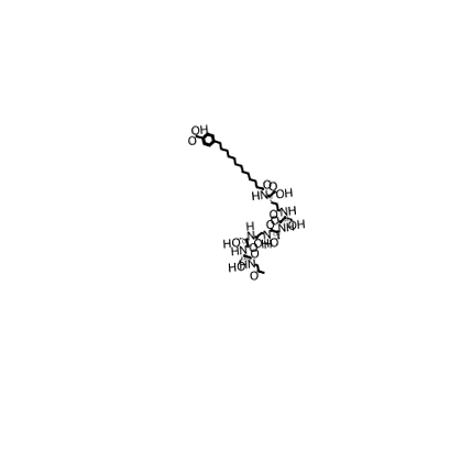 CC(=O)CNC(=O)[C@H](CO)NC(=O)[C@H](CO)NC(=O)CNC(=O)[C@H](CO)NC(=O)[C@H](CO)NC(=O)CC[C@H](NC(=O)CCCCCCCCCCCCc1ccc(C(=O)O)cc1)C(=O)O